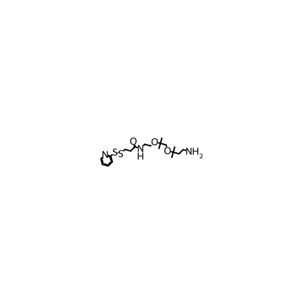 CC(C)(CCN)OCC(C)(C)OCCNC(=O)CCSSc1ccccn1